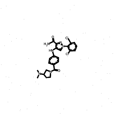 CN(C)C1CCN(C(=O)c2ccc(Nc3cn(-c4c(Cl)cccc4Cl)nc3C(N)=O)cc2)C1